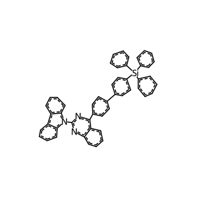 c1ccc([Si](c2ccccc2)(c2ccccc2)c2ccc(-c3ccc(-c4nc(-n5c6ccccc6c6ccccc65)nc5ccccc45)cc3)cc2)cc1